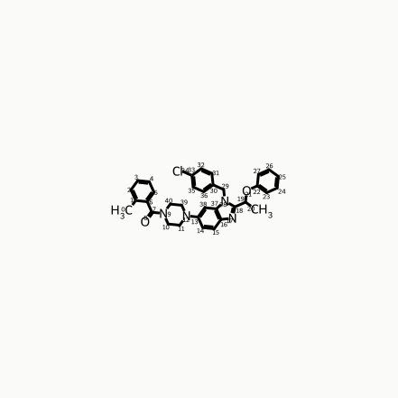 Cc1ccccc1C(=O)N1CCN(c2ccc3nc(C(C)Oc4ccccc4)n(Cc4ccc(Cl)cc4)c3c2)CC1